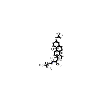 CC(=O)OC1=CC2=CC[C@@H]3C(CC[C@@]4(C)C3CC[C@@H]4[C@H](C)/C=C/NC(C)C)[C@@]2(C)CC1